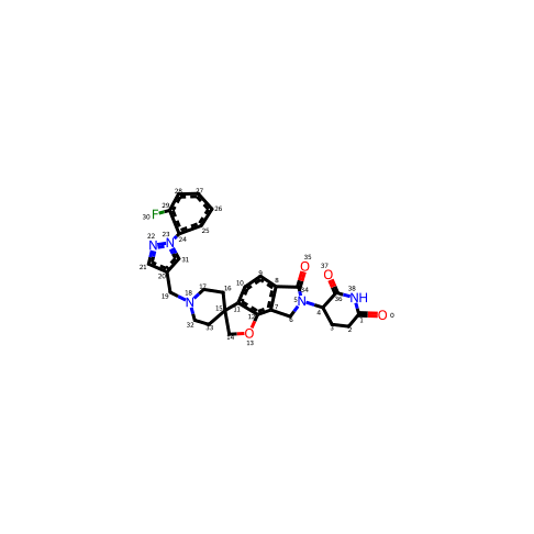 O=C1CCC(N2Cc3c(ccc4c3OCC43CCN(Cc4cnn(-c5ccccc5F)c4)CC3)C2=O)C(=O)N1